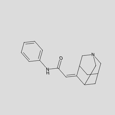 O=C(C=C1C2CC3CC1CN(C3)C2)Nc1ccccc1